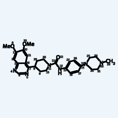 COc1cc2ncnc(C3CCN(C(=O)Nc4ccc(N5CCN(C)CC5)cc4)CC3)c2cc1OC